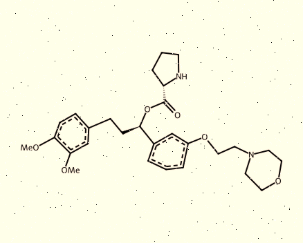 COc1ccc(CC[C@@H](OC(=O)[C@@H]2CCCN2)c2cccc(OCCN3CCOCC3)c2)cc1OC